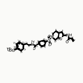 C=CC(=O)NC1CC2CCN(S(=O)(=O)c3ccc(C(=O)NCCc4ccc(C(C)(C)C)cc4)cc3)CC2O1